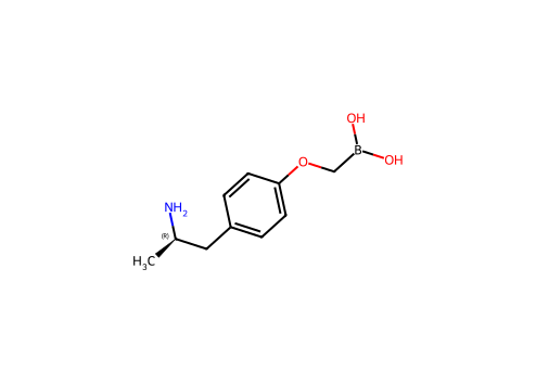 C[C@@H](N)Cc1ccc(OCB(O)O)cc1